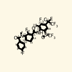 CN(C(=O)c1ccc(F)cc1)c1cccc(C(=O)Nc2c(I)cc(C(F)(C(F)(F)F)C(F)(F)F)cc2[S+]([O-])C(F)(F)F)c1F